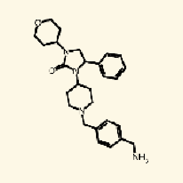 NCc1ccc(CN2CCC(N3C(=O)N(C4CCOCC4)CC3c3ccccc3)CC2)cc1